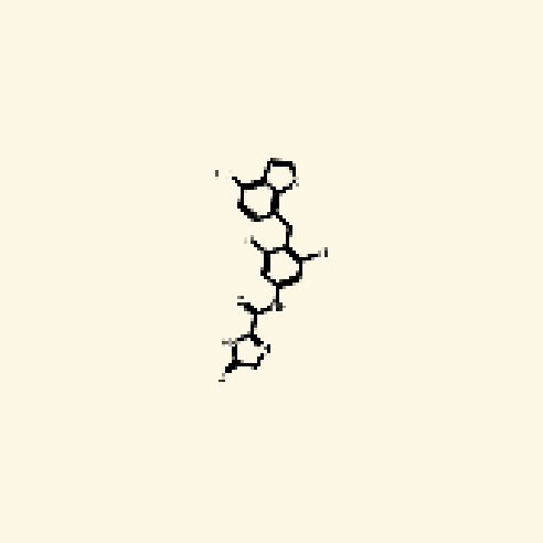 O=C1CN=C(C(=O)Nc2cc(Cl)c(Cc3ccc(O)c4ccsc34)c(Cl)c2)N1